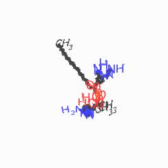 CCCCCCCCCCCCCCCCCCOC[C@H](COP(=O)(O)OC[C@@](C)(OC)[C@@H](O)Cc1ccc2c(N)ncnn12)OCc1ccc(N/C=N\C=N)c(C#N)c1